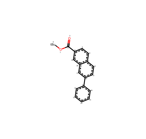 CC(C)(C)OC(=O)c1[c]cc2ccc(-c3ccccc3)cc2c1